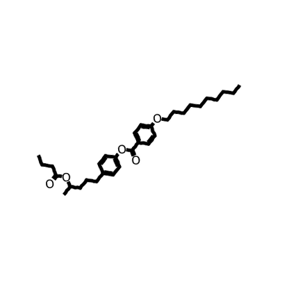 CCCCCCCCCCOc1ccc(C(=O)Oc2ccc(CCCC(C)OC(=O)CCC)cc2)cc1